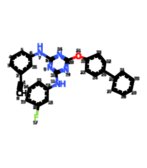 C#Cc1cccc(Nc2nc(Nc3cccc(F)c3)nc(Oc3ccc(-c4ccccc4)cc3)n2)c1